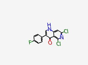 O=c1c(-c2ccc(F)cc2)c[nH]c2cc(Cl)nc(Cl)c12